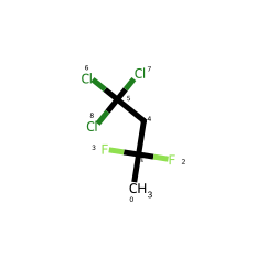 CC(F)(F)CC(Cl)(Cl)Cl